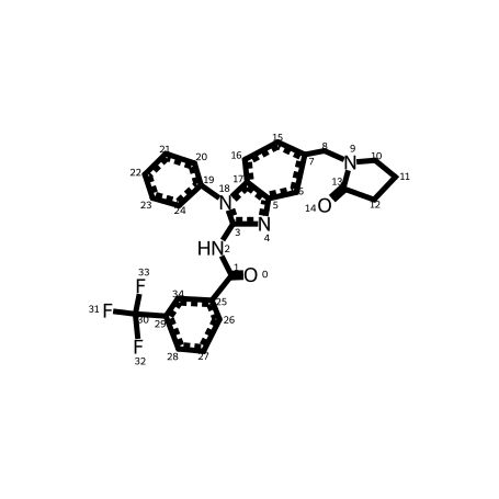 O=C(Nc1nc2cc(CN3CCCC3=O)ccc2n1-c1ccccc1)c1cccc(C(F)(F)F)c1